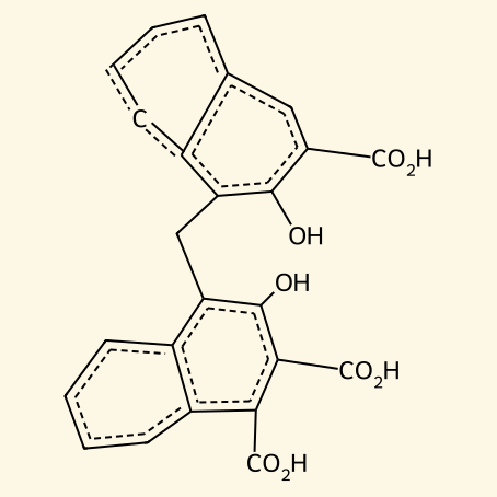 O=C(O)c1cc2ccccc2c(Cc2c(O)c(C(=O)O)c(C(=O)O)c3ccccc23)c1O